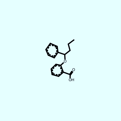 CCCC(Oc1ccccc1C(=O)O)c1ccccc1